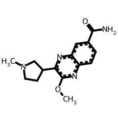 COc1nc2ccc(C(N)=O)cc2nc1C1CCN(C)C1